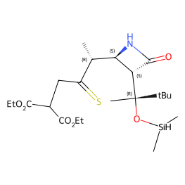 CCOC(=O)C(CC(=S)[C@H](C)[C@H]1NC(=O)[C@@H]1[C@@](C)(O[SiH](C)C)C(C)(C)C)C(=O)OCC